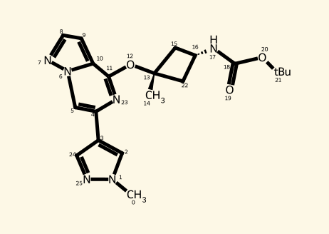 Cn1cc(-c2cn3nccc3c(O[C@]3(C)C[C@H](NC(=O)OC(C)(C)C)C3)n2)cn1